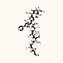 CC(C)CCC(=O)N[C@H](C)C(=O)NC(=O)N(C)C(C(=O)N(C)[C@@H](CC(C)C)C(=O)N(C)[C@H](C(=O)N(C)[C@H](C(=O)N[C@H](C(=O)N(C)CC(=O)N(C)[C@@H](CC(C)C)C(N)=O)C(C)C)[C@H](O)[C@H](C)CCN1CCOCC1)C(C)C)C(C)C